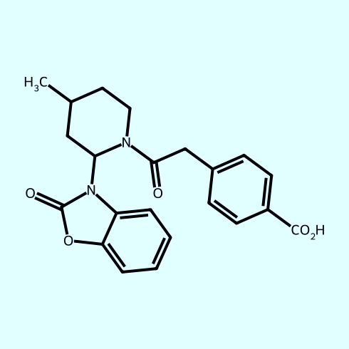 CC1CCN(C(=O)Cc2ccc(C(=O)O)cc2)C(n2c(=O)oc3ccccc32)C1